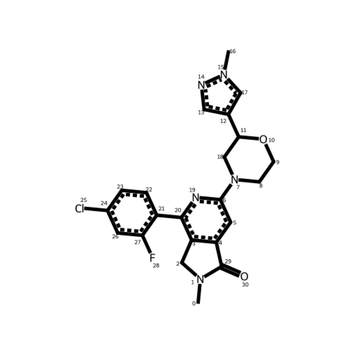 CN1Cc2c(cc(N3CCOC(c4cnn(C)c4)C3)nc2-c2ccc(Cl)cc2F)C1=O